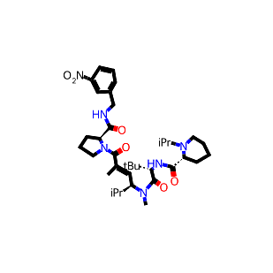 C/C(=C\[C@H](C(C)C)N(C)C(=O)[C@@H](NC(=O)[C@H]1CCCCN1C(C)C)C(C)(C)C)C(=O)N1CCC[C@H]1C(=O)NCc1cccc([N+](=O)[O-])c1